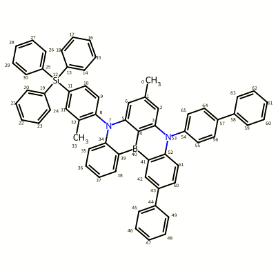 Cc1cc2c3c(c1)N(c1ccc([Si](c4ccccc4)(c4ccccc4)c4ccccc4)cc1C)c1ccccc1B3c1cc(-c3ccccc3)ccc1N2c1ccc(-c2ccccc2)cc1